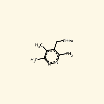 CCCCCCCc1c(P)nnc(P)c1C